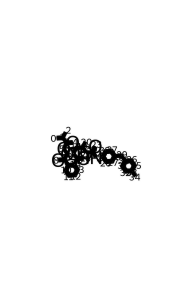 C=C(C)C(=O)OOC(=O)c1ccccc1C(=O)OCC(C)OC(=O)Nc1ccc(Cc2ccc(C)cc2)cc1